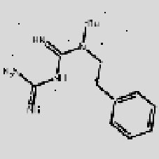 CC(C)(C)N(CCc1ccccc1)C(=N)NC(=N)N